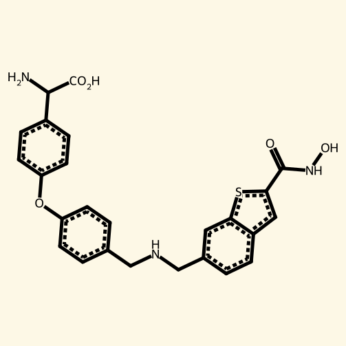 NC(C(=O)O)c1ccc(Oc2ccc(CNCc3ccc4cc(C(=O)NO)sc4c3)cc2)cc1